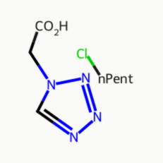 CCCCCCl.O=C(O)Cn1cnnn1